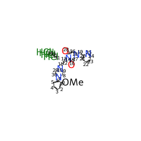 COc1ccccc1N1CCN(CCCN2C(=O)CN(Cc3ccccn3)CC2=O)CC1.Cl.Cl.Cl.Cl